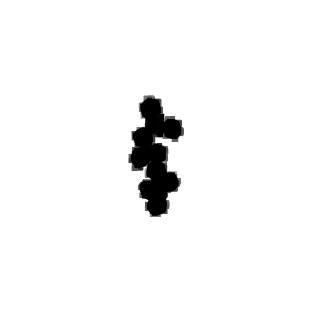 c1ccc(-c2nc(-c3ccccc3)nc(-c3cccc(-n4c5ccccc5c5c(-c6ccc7c(c6)c6ccccc6n7-c6cccc7c6oc6ccccc67)cccc54)c3)n2)cc1